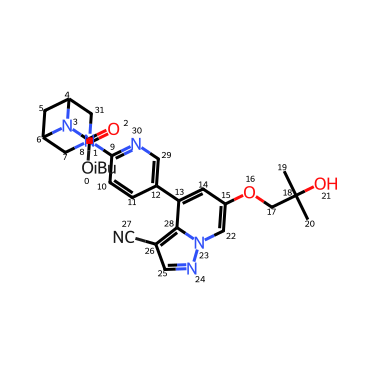 CC(C)COC(=O)N1C2CC1CN(c1ccc(-c3cc(OCC(C)(C)O)cn4ncc(C#N)c34)cn1)C2